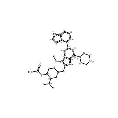 CCn1c(CN2CCN(CC(N)=O)C(C(C)C)C2)nc2c(N3CCOCC3)nc(-c3cccc4[nH]ccc34)nc21